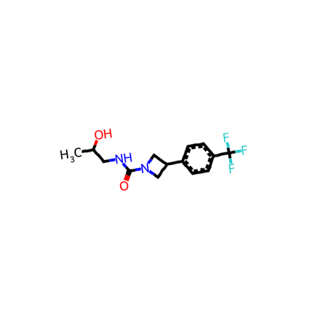 CC(O)CNC(=O)N1CC(c2ccc(C(F)(F)F)cc2)C1